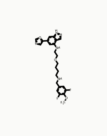 Fc1cc(CNCCCCOCCNc2cc(-c3cnco3)cc3[nH]ncc23)cc(F)c1OC(F)(F)F